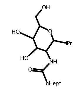 CCCCCCCC(=O)NC1C(O)C(O)C(CO)OC1C(C)C